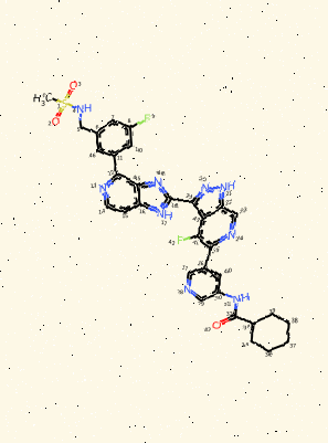 CS(=O)(=O)NCc1cc(F)cc(-c2nccc3[nH]c(-c4n[nH]c5cnc(-c6cncc(NC(=O)C7CCCCC7)c6)c(F)c45)nc23)c1